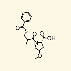 COC1C[C@@H](C(=O)O)N(C(=O)C(C)CSC(=O)c2ccccc2)C1